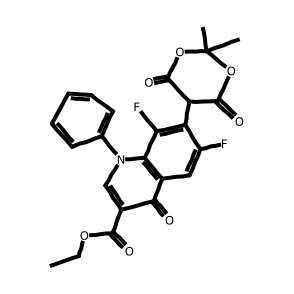 CCOC(=O)c1cn(-c2ccccc2)c2c(F)c(C3C(=O)OC(C)(C)OC3=O)c(F)cc2c1=O